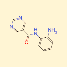 Nc1ccccc1NC(=O)c1cncnc1